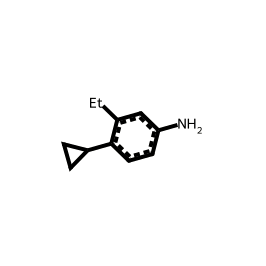 CCc1cc(N)ccc1C1CC1